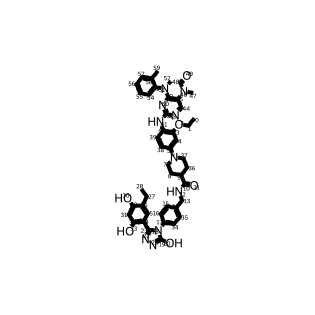 CCOc1cc(N2CCC(C(=O)NCc3ccc(-n4c(O)nnc4-c4cc(CC)c(O)cc4O)cc3)CC2)ccc1Nc1ncc(N(C)C=O)c(N(C)c2ccccc2C)n1